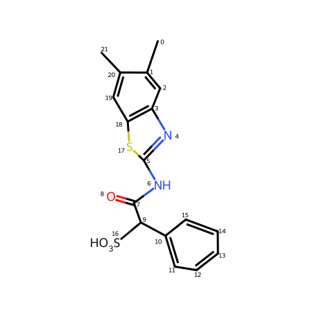 Cc1cc2nc(NC(=O)C(c3ccccc3)S(=O)(=O)O)sc2cc1C